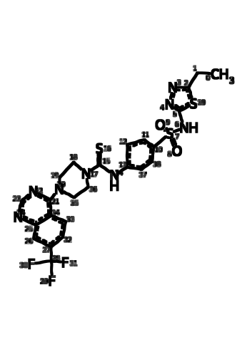 CCc1nnc(NS(=O)(=O)c2ccc(NC(=S)N3CCN(c4ncnc5cc(C(F)(F)F)ccc45)CC3)cc2)s1